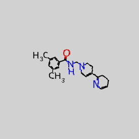 Cc1cc(C)cc(C(=O)NCN2CC=C(C3=NC=CCC3)CC2)c1